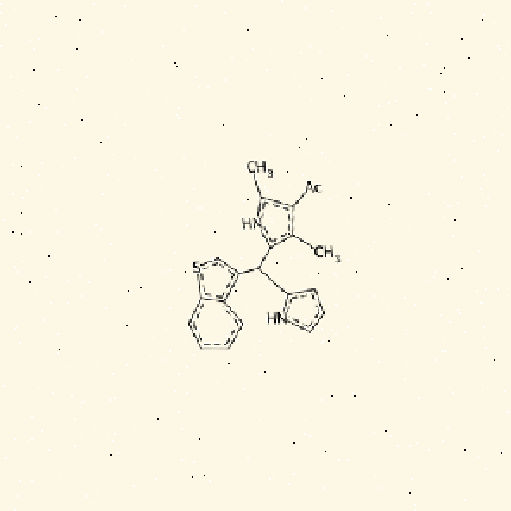 CC(=O)c1c(C)[nH]c(C(c2ccc[nH]2)c2csc3ccccc23)c1C